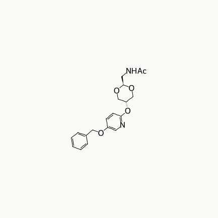 CC(=O)NC[C@H]1OC[C@H](Oc2ccc(OCc3ccccc3)cn2)CO1